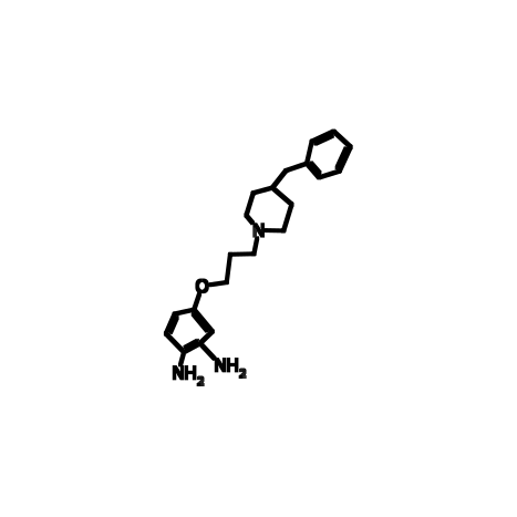 Nc1ccc(OCCCN2CCC(Cc3ccccc3)CC2)cc1N